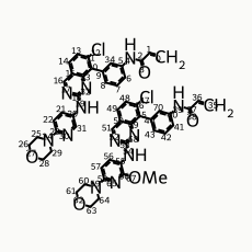 C=CC(=O)Nc1cccc(-c2c(Cl)ccc3cnc(Nc4ccc(N5CCOCC5)nc4)nc23)c1.C=CC(=O)Nc1cccc(-c2c(Cl)ccc3cnc(Nc4ccc(N5CCOCC5)nc4OC)nc23)c1